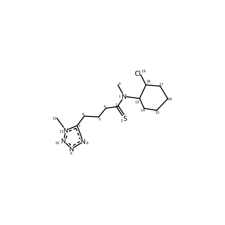 CN(C(=S)CCCc1nnnn1C)C1CCCCC1Cl